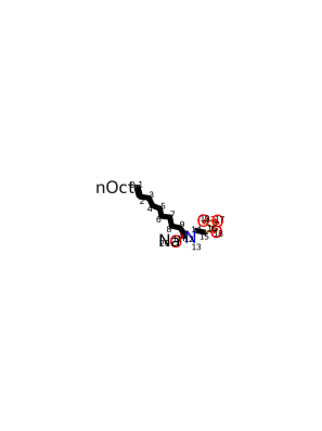 CCCCCCCCC=CCCCCCCCC(=O)N(C)CCS(=O)(=O)[O-].[Na+]